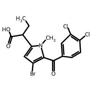 CCC(C(=O)O)c1cc(Br)c(C(=O)c2ccc(Cl)c(Cl)c2)n1C